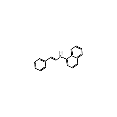 C(=Cc1ccccc1)Nc1cccc2ccccc12